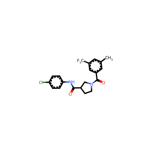 Cc1cc(C(=O)N2CCC(C(=O)Nc3ccc(Cl)cc3)C2)cc(C(F)(F)F)c1